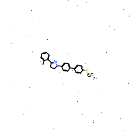 Cc1ccccc1C1=NC(c2ccc(-c3ccc(SC(F)(F)F)cc3)cc2)CC1